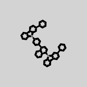 c1ccc(-c2ccc3c4ccccc4n(-c4ccc(-c5ccc(-n6c7ccccc7c7ccc(-c8ccccc8)cc76)c6ccccc56)cc4)c3c2)cc1